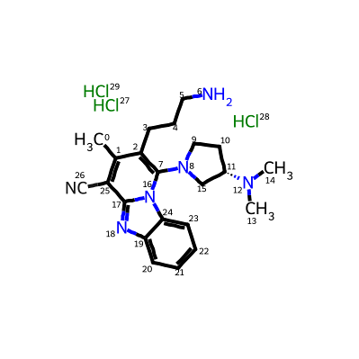 Cc1c(CCCN)c(N2CC[C@H](N(C)C)C2)n2c(nc3ccccc32)c1C#N.Cl.Cl.Cl